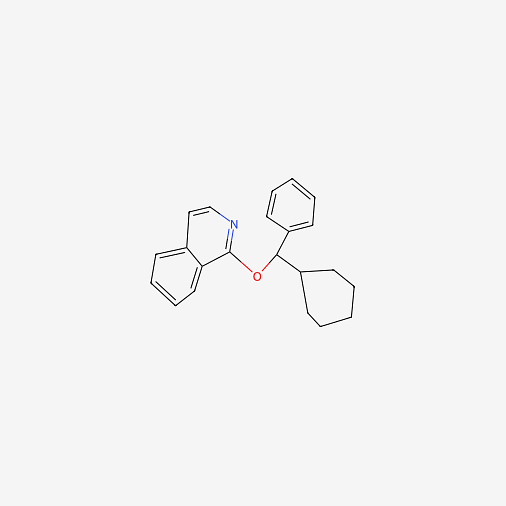 c1ccc(C(Oc2nccc3ccccc23)C2CCCCC2)cc1